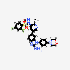 Cc1ncc(-c2ccc3nc(N)n(-c4ccc(N5CCOCC5)cc4)c3c2)cc1NS(=O)(=O)c1ccc(F)cc1F